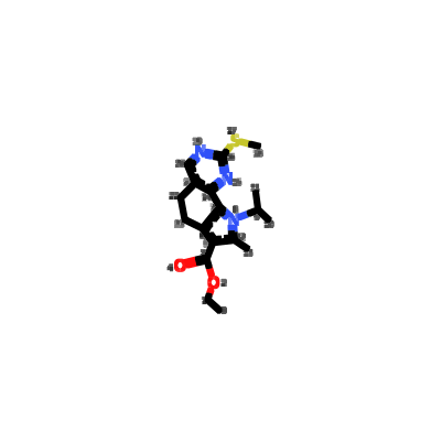 CCOC(=O)c1c2c(n(C(C)C)c1C)-c1nc(SC)ncc1CC2